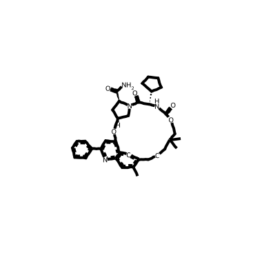 Cc1cc2nc(-c3ccccc3)cc3c2cc1CCCC(C)(C)COC(=O)N[C@@H](C1CCCC1)C(=O)N1C[C@@H](C[C@H]1C(N)=O)O3